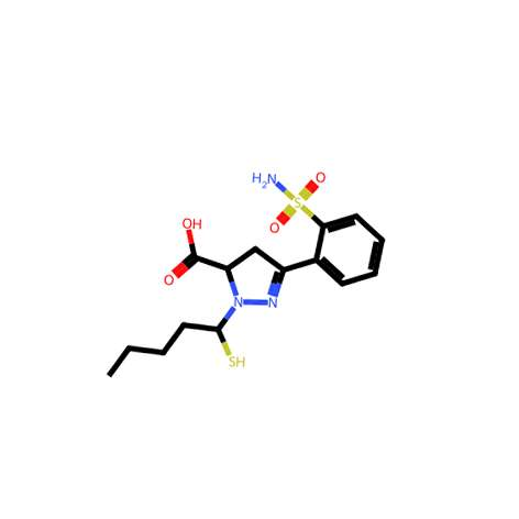 CCCCC(S)N1N=C(c2ccccc2S(N)(=O)=O)CC1C(=O)O